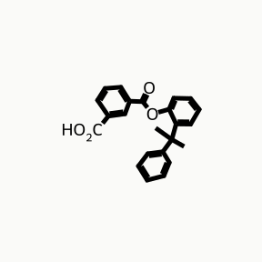 CC(C)(c1ccccc1)c1ccccc1OC(=O)c1cccc(C(=O)O)c1